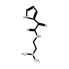 CN(C)CCNC(=O)C(=O)c1ccc[nH]1